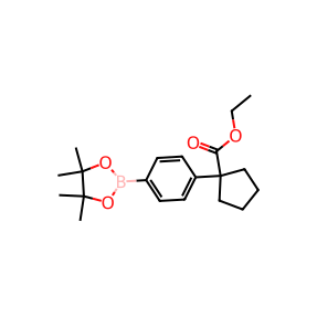 CCOC(=O)C1(c2ccc(B3OC(C)(C)C(C)(C)O3)cc2)CCCC1